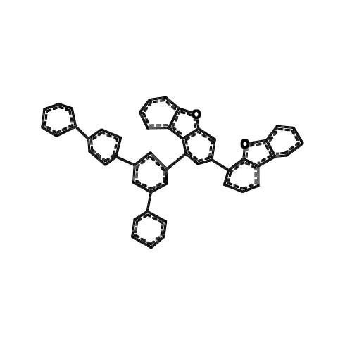 c1ccc(-c2ccc(-c3cc(-c4ccccc4)cc(-c4cc(-c5cccc6c5oc5ccccc56)cc5oc6ccccc6c45)c3)cc2)cc1